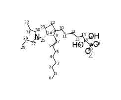 CCCCCCC=C[C@@H]1[C@H](CCCCCC(O)(O)C(=O)OC)CC[C@H]1CN(CCC)CCC